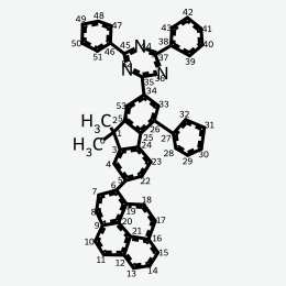 CC1(C)c2cc(-c3ccc4ccc5cccc6ccc3c4c56)ccc2-c2c(-c3ccccc3)cc(-c3nc(-c4ccccc4)nc(-c4ccccc4)n3)cc21